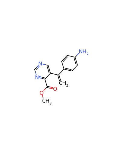 C=C(c1ccc(N)cc1)c1cncnc1C(=O)OC